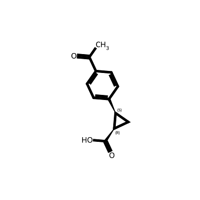 CC(=O)c1ccc([C@H]2C[C@H]2C(=O)O)cc1